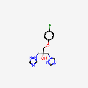 OC(COc1ccc(F)cc1)(Cn1cncn1)Cn1cncn1